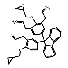 C=CCc1cc(C2(c3cc(CC=C)c(OCC4CO4)c(CC=C)c3)c3ccccc3-c3ccccc32)ccc1OCC1CO1